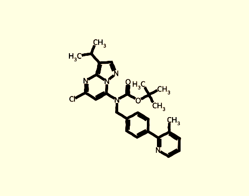 Cc1cccnc1-c1ccc(CN(C(=O)OC(C)(C)C)c2cc(Cl)nc3c(C(C)C)cnn23)cc1